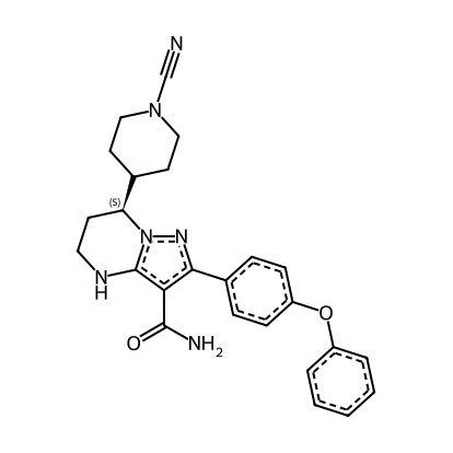 N#CN1CCC([C@@H]2CCNc3c(C(N)=O)c(-c4ccc(Oc5ccccc5)cc4)nn32)CC1